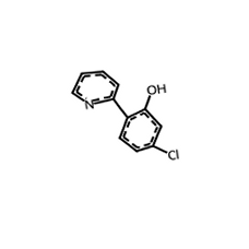 Oc1cc(Cl)ccc1-c1ccccn1